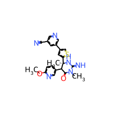 COc1ccc(C2C(=O)N(C)C(=N)N[C@]2(C)c2cc(-c3cncc(C#N)c3)cs2)cn1